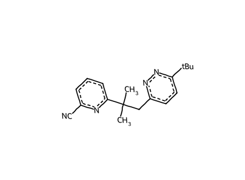 CC(C)(C)c1ccc(CC(C)(C)c2cccc(C#N)n2)nn1